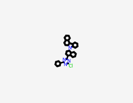 Clc1nc(-c2ccccc2)nc(-c2ccc(-n3c4ccccc4c4c5ccccc5ccc43)c3ccccc23)n1